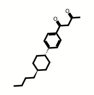 CCCC[C@H]1CC[C@H](c2ccc(C(=O)CC(C)=O)cc2)CC1